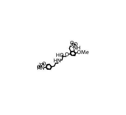 COc1ccc(OCC(O)CNCCCc2ccc(NS(C)(=O)=O)cc2)c2c1NS(=O)(=O)CC2